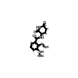 CC(C)(C)Nc1cccc(C(=O)NC2CCC(=O)NC2=O)c1N=N